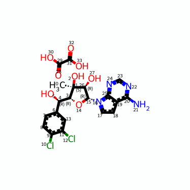 C[C@@]1(O)[C@@H]([C@H](O)c2ccc(Cl)c(Cl)c2)O[C@@H](n2ccc3c(N)ncnc32)[C@@H]1O.O=C(O)C(=O)O